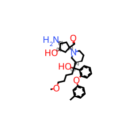 COCCCC[C@@](O)(c1ccccc1Oc1cccc(C)c1)[C@@H]1CCCN([C@@]2(C=O)C[C@@H](N)[C@@H](O)C2)C1